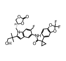 CC(C)(CO)c1cc2cc(NC(=O)C3(c4ccc5c(c4)OC(F)(F)O5)CC3)c(F)cc2n1C[C@@H]1COC(=O)O1